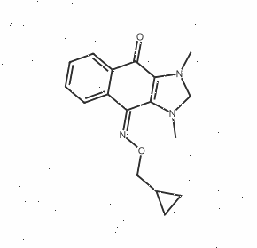 CN1CN(C)C2=C1C(=O)c1ccccc1/C2=N/OCC1CC1